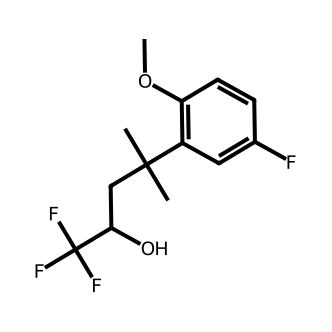 COc1ccc(F)cc1C(C)(C)CC(O)C(F)(F)F